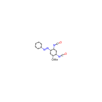 COc1cc(/N=N/c2ccccc2)c(N=C=O)cc1N=C=O